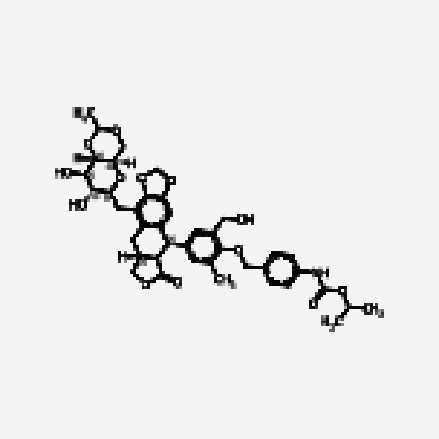 Cc1cc([C@@H]2c3cc4c(c(C[C@@H]5O[C@@H]6COC(C)O[C@H]6[C@H](O)[C@H]5O)c3C[C@H]3COC(=O)C32)OCO4)cc(CO)c1OCc1ccc(NC(=O)OC(C)C)cc1